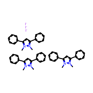 Cn1c(-c2ccccc2)cc(-c2ccccc2)[n+]1C.Cn1c(-c2ccccc2)cc(-c2ccccc2)[n+]1C.Cn1c(-c2ccccc2)cc(-c2ccccc2)[n+]1C.[I-].[I-].[I-]